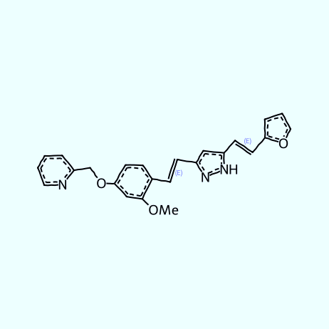 COc1cc(OCc2ccccn2)ccc1/C=C/c1cc(/C=C/c2ccco2)[nH]n1